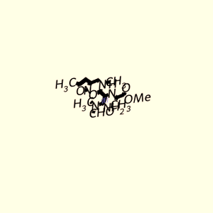 COC(=O)C(C)N/C(C(=O)N(C)Cc1cc(C)on1)=C(\N)N(C)C=O